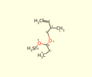 C=CC(C)COC(CC)O[SiH3]